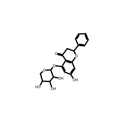 O=C1CC(c2ccccc2)Oc2cc(O)cc(OC3OCC(O)C(O)C3O)c21